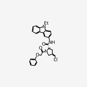 CCn1c2ccccc2c2cc(NC(=O)[C@@H]3CC(=CCl)CN3C(=O)COc3ccccc3)ccc21